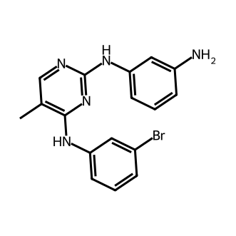 Cc1cnc(Nc2cccc(N)c2)nc1Nc1cccc(Br)c1